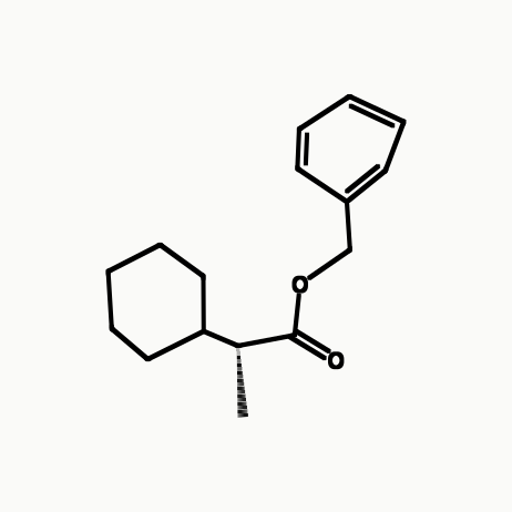 C[C@@H](C(=O)OCc1ccccc1)C1CCCCC1